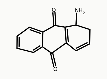 NC1CC=CC2=C1C(=O)c1ccccc1C2=O